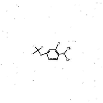 OB(O)c1ccc(OC(F)(F)F)cc1Cl